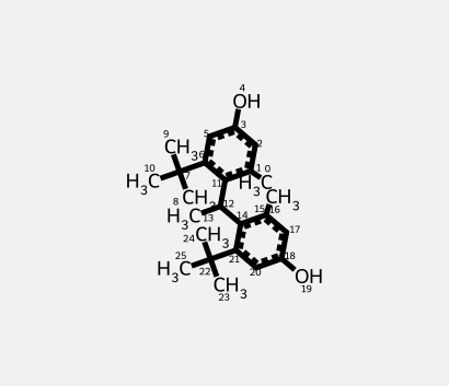 Cc1cc(O)cc(C(C)(C)C)c1C(C)c1c(C)cc(O)cc1C(C)(C)C